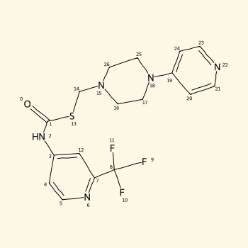 O=C(Nc1ccnc(C(F)(F)F)c1)SCN1CCN(c2ccncc2)CC1